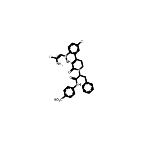 N/C(Cl)=C\N(N)c1ccc(Cl)cc1C1=CC(=O)N(C(Cc2ccccc2)C(=O)Nc2ccc(C(=O)O)cc2)CC1